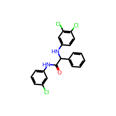 O=C(Nc1cccc(Cl)c1)C(Nc1ccc(Cl)c(Cl)c1)c1ccccc1